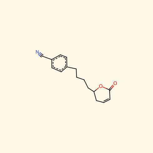 N#Cc1ccc(CCCCC2CC=CC(=O)O2)cc1